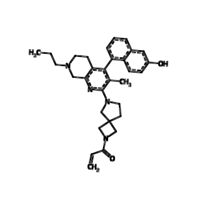 C=CC(=O)N1CC2(CCN(c3nc4c(c(-c5cccc6cc(O)ccc56)c3C)CCN(CCC)C4)C2)C1